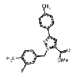 COC(=O)c1cc(-c2ccc(C)cc2)nn1Cc1ccc(C)c(F)c1